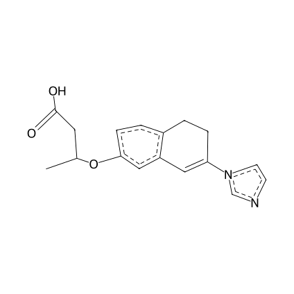 CC(CC(=O)O)Oc1ccc2c(c1)C=C(n1ccnc1)CC2